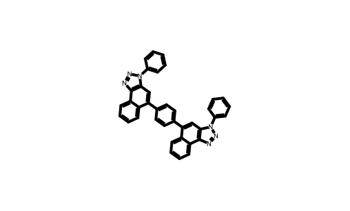 c1ccc(-n2nnc3c4ccccc4c(-c4ccc(-c5cc6c(nnn6-c6ccccc6)c6ccccc56)cc4)cc32)cc1